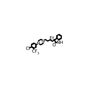 CCC1(CCCCN2CCN(c3ccc(Cl)c(C(F)(F)F)c3)CC2)C(=O)Nc2ccccc21